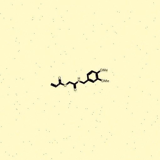 C=CC(=O)OCC(=O)NCc1ccc(OC)c(OC)c1